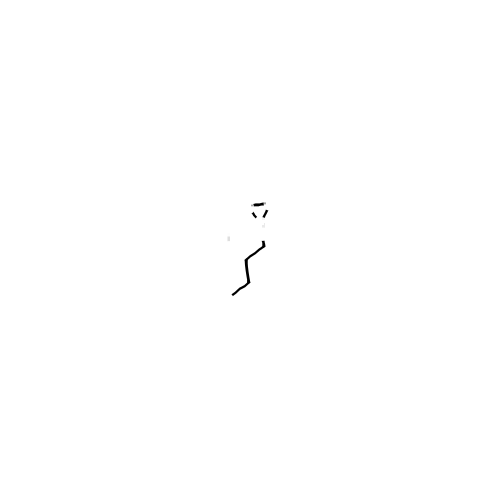 CCCC[SiH]1OO1.[LiH]